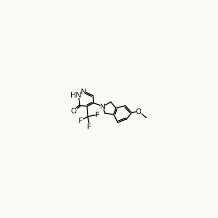 COc1ccc2c(c1)CN(c1cn[nH]c(=O)c1C(F)(F)F)C2